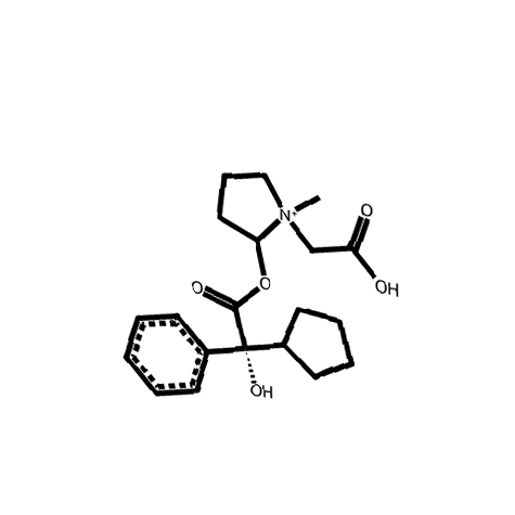 C[N+]1(CC(=O)O)CCCC1OC(=O)[C@](O)(c1ccccc1)C1CCCC1